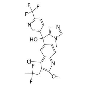 COc1nc2ccc(C(O)(c3ccc(C(F)(F)F)nc3)c3cncn3C)cc2c(Cl)c1CC(C)(F)F